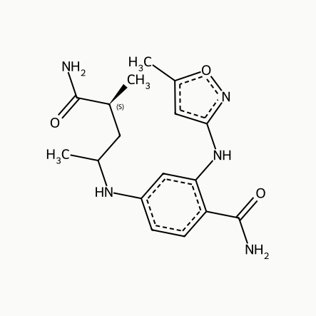 Cc1cc(Nc2cc(NC(C)C[C@H](C)C(N)=O)ccc2C(N)=O)no1